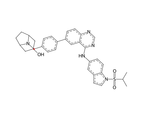 CC(C)S(=O)(=O)n1ccc2cc(Nc3ncnc4ccc(-c5ccc(CN6C7CCC6CC(O)C7)cc5)cc34)ccc21